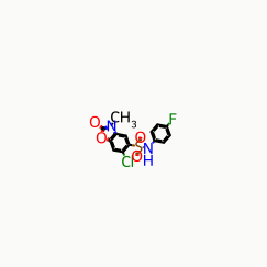 Cn1c(=O)oc2cc(Cl)c(S(=O)(=O)Nc3ccc(F)cc3)cc21